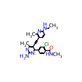 CCNc1ccc(C#Cc2c(C)nc(N)nc2-c2ccc(C(=O)NC)c(Cl)c2)c(C)n1